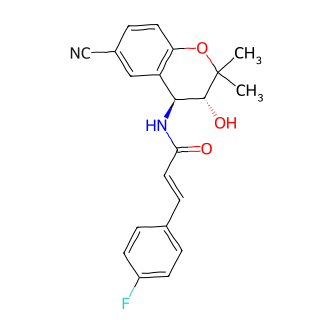 CC1(C)Oc2ccc(C#N)cc2[C@H](NC(=O)/C=C/c2ccc(F)cc2)[C@H]1O